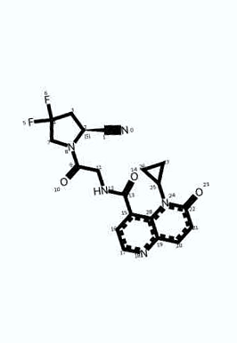 N#C[C@@H]1CC(F)(F)CN1C(=O)CNC(=O)c1ccnc2ccc(=O)n(C3CC3)c12